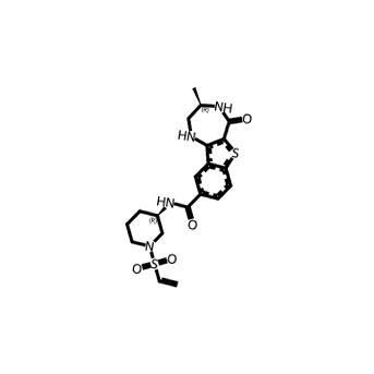 C=CS(=O)(=O)N1CCC[C@@H](NC(=O)c2ccc3sc4c(c3c2)NC[C@@H](C)NC4=O)C1